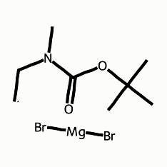 [Br][Mg][Br].[CH2]CN(C)C(=O)OC(C)(C)C